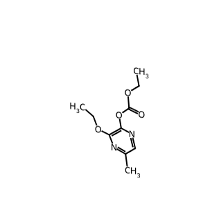 CCOC(=O)Oc1ncc(C)nc1OCC